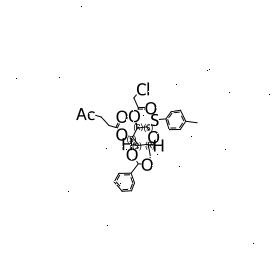 CC(=O)CCC(=O)O[C@H]1[C@H]2OC(c3ccccc3)OC[C@H]2O[C@@H](Sc2ccc(C)cc2)[C@@H]1OC(=O)CCl